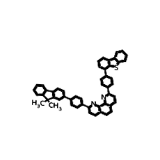 CC1(C)c2ccccc2-c2ccc(-c3ccc(-c4ccc5ccc6ccc(-c7ccc(-c8cccc9c8sc8ccccc89)cc7)nc6c5n4)cc3)cc21